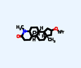 CCCOC1C[C@H]2[C@@H]3CCC4N(C)C(=O)CC[C@]4(C)[C@@H]3CC[C@]2(C)C1